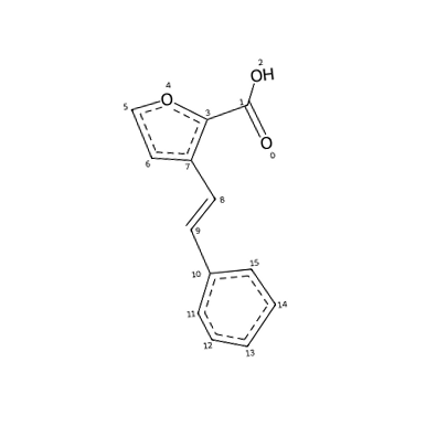 O=C(O)c1occc1C=Cc1ccccc1